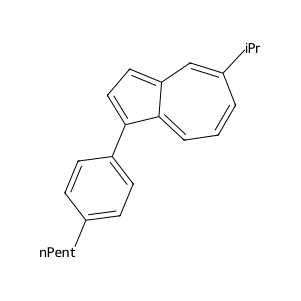 CCCCCc1ccc(-c2ccc3cc(C(C)C)cccc2-3)cc1